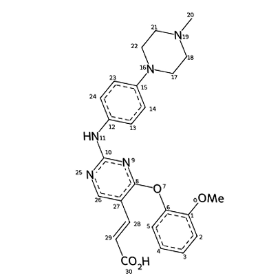 COc1ccccc1Oc1nc(Nc2ccc(N3CCN(C)CC3)cc2)ncc1C=CC(=O)O